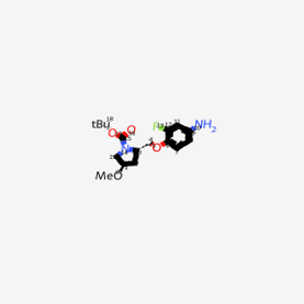 CO[C@@H]1C[C@@H](COc2ccc(N)cc2F)N(C(=O)OC(C)(C)C)C1